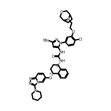 CC(C)(C)c1cc(NC(=O)N[C@H]2CC[C@@H](Oc3ccc4nnc(N5CCCCC5)n4c3)c3ccccc32)n(-c2ccc(Cl)c(OCCN3C4CCC3COC4)c2)n1